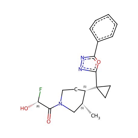 C[C@@H]1CN(C(=O)[C@H](O)F)CC[C@@H]1C1(c2nnc(-c3ccccc3)o2)CC1